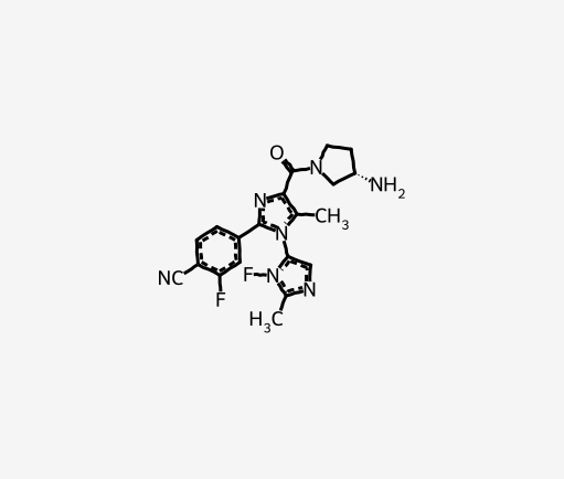 Cc1ncc(-n2c(-c3ccc(C#N)c(F)c3)nc(C(=O)N3CC[C@H](N)C3)c2C)n1F